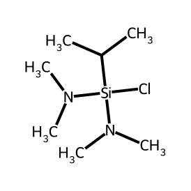 CC(C)[Si](Cl)(N(C)C)N(C)C